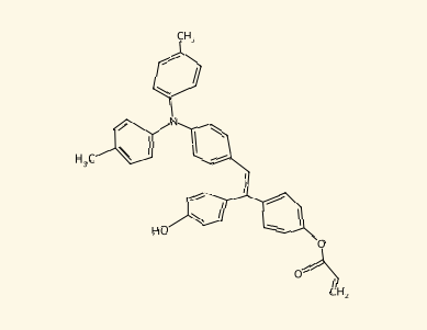 C=CC(=O)Oc1ccc(C(=Cc2ccc(N(c3ccc(C)cc3)c3ccc(C)cc3)cc2)c2ccc(O)cc2)cc1